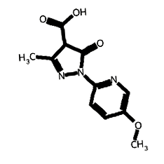 COc1ccc(N2N=C(C)C(C(=O)O)C2=O)nc1